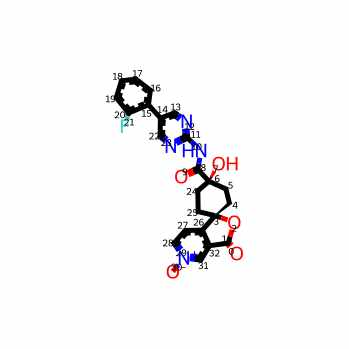 O=C1O[C@]2(CC[C@@](O)(C(=O)Nc3ncc(-c4ccccc4F)cn3)CC2)c2cc[n+]([O-])cc21